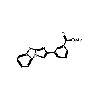 COC(=O)c1cccc(-c2cn3c(n2)sc2ccccc23)c1